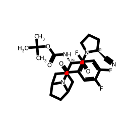 CC(C)(C)OC(=O)N[C@H](C(=O)N1CCC[C@H]1C#N)C1CC2CCC(C1)N2C(=O)c1cc(F)c(F)cc1F